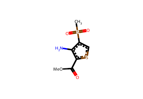 COC(=O)c1scc(S(C)(=O)=O)c1N